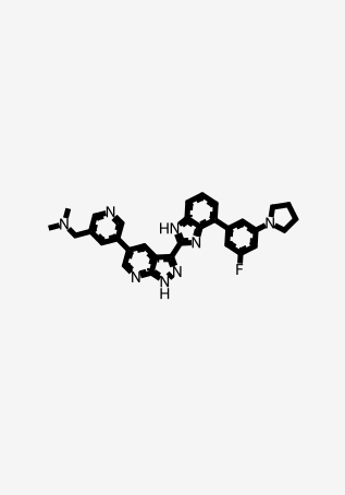 CN(C)Cc1cncc(-c2cnc3[nH]nc(-c4nc5c(-c6cc(F)cc(N7CCCC7)c6)cccc5[nH]4)c3c2)c1